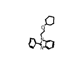 c1ccc(-c2nc3ccccc3n2CCOC2CCCCC2)cc1